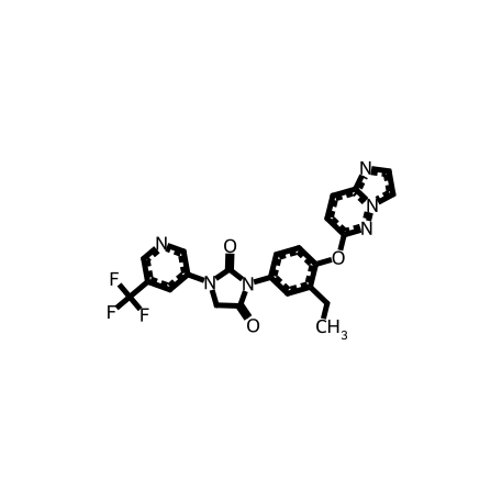 CCc1cc(N2C(=O)CN(c3cncc(C(F)(F)F)c3)C2=O)ccc1Oc1ccc2nccn2n1